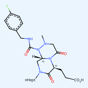 CCCCCCCN1C[C@H]2N(C(=O)CN(C)N2C(=O)NCc2ccc(F)cc2)[C@@H](CCC(=O)O)C1=O